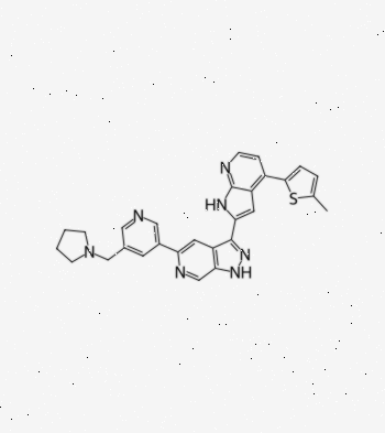 Cc1ccc(-c2ccnc3[nH]c(-c4n[nH]c5cnc(-c6cncc(CN7CCCC7)c6)cc45)cc23)s1